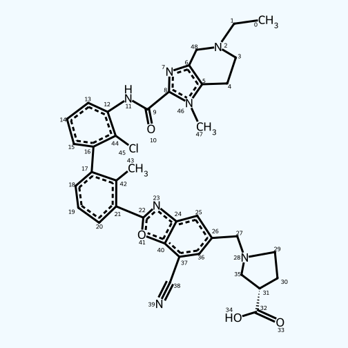 CCN1CCc2c(nc(C(=O)Nc3cccc(-c4cccc(-c5nc6cc(CN7CC[C@H](C(=O)O)C7)cc(C#N)c6o5)c4C)c3Cl)n2C)C1